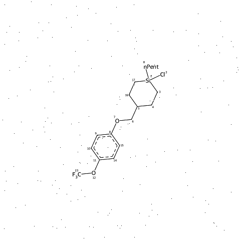 CCCCC[Si]1(Cl)CCC(COc2ccc(OC(F)(F)F)cc2)CC1